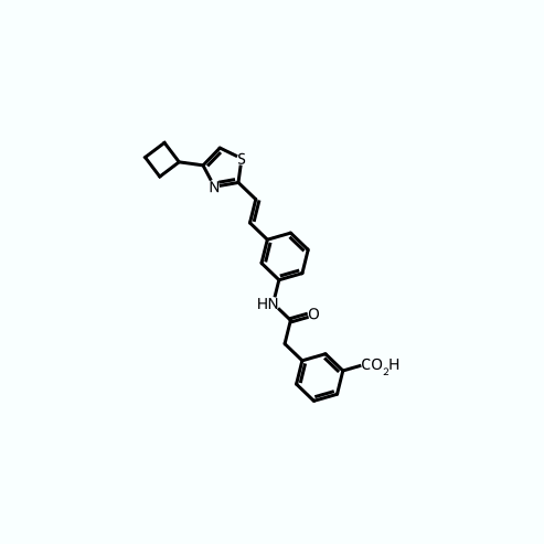 O=C(Cc1cccc(C(=O)O)c1)Nc1cccc(C=Cc2nc(C3CCC3)cs2)c1